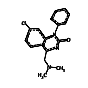 CN(C)Cc1nc(=O)n(-c2ccccc2)c2cc(Cl)ccc12